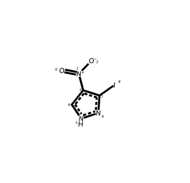 O=[N+]([O-])c1c[nH]nc1I